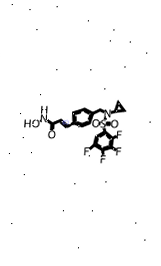 O=C(/C=C/c1ccc(CN(C2CC2)S(=O)(=O)c2cc(F)c(F)c(F)c2F)cc1)NO